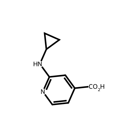 O=C(O)c1ccnc(NC2CC2)c1